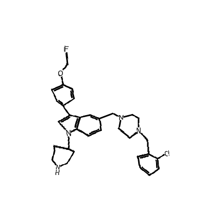 FCOc1ccc(-c2cn(C3CCNCC3)c3ccc(CN4CCN(Cc5ccccc5Cl)CC4)cc23)cc1